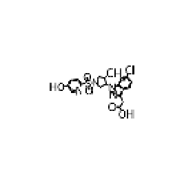 C[C@@H]1CN(S(=O)(=O)c2ccc(O)cn2)C[C@@H]1n1nc(CC(=O)O)c2ccc(Cl)cc21